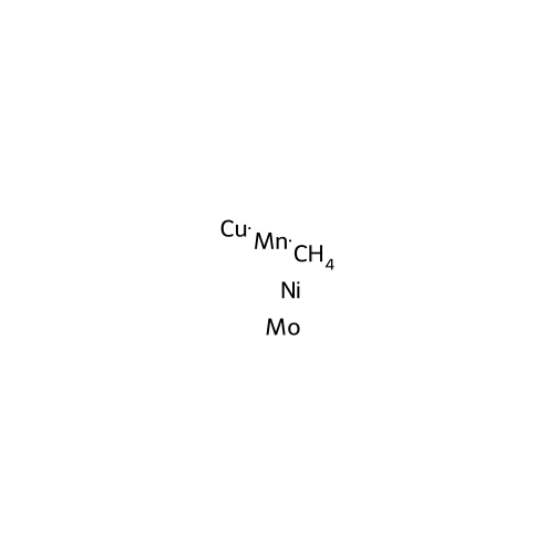 C.[Cu].[Mn].[Mo].[Ni]